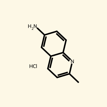 Cc1ccc2cc(N)ccc2n1.Cl